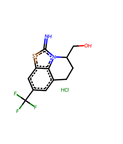 Cl.N=c1sc2cc(C(F)(F)F)cc3c2n1C(CO)CC3